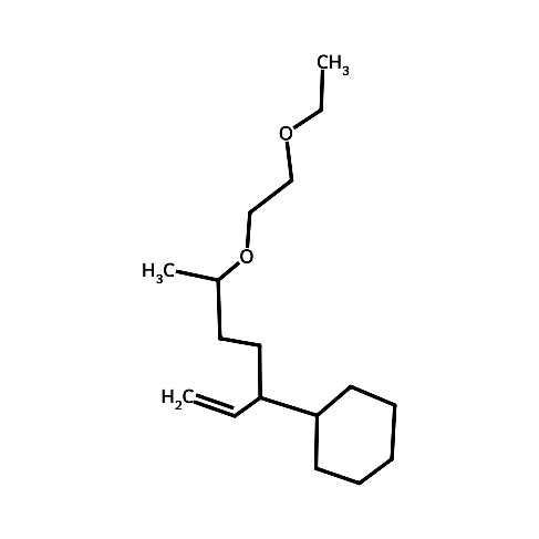 C=CC(CCC(C)OCCOCC)C1CCCCC1